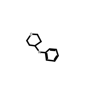 c1ccc([N]C2CCOCC2)cc1